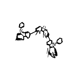 c1ccc(-n2c3ccccc3c3ccc(-c4ccc5oc6ccc(-c7ccc8c9nnccc9n(-c9ccccc9)c8c7)nc6c5n4)cc32)cc1